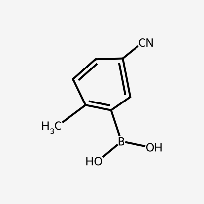 Cc1ccc(C#N)cc1B(O)O